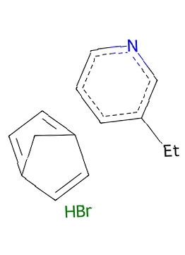 Br.C1=CC2=CC=C1C2.CCc1cccnc1